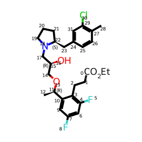 CCOC(=O)CCc1c(F)cc(F)cc1[C@@H](C)OC[C@H](O)CN1CCC[C@H]1Cc1ccc(C)c(Cl)c1